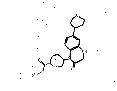 CC(C)(C)OC(=O)N1CCC(N2C(=O)CNc3cc(C4CCOCC4)cnc32)CC1